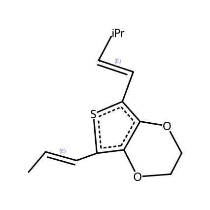 C/C=C/c1sc(/C=C/C(C)C)c2c1OCCO2